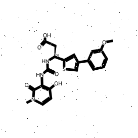 COc1cccc(-c2csc([C@H](CC(=O)O)NC(=O)Nc3c(O)ccn(C)c3=O)c2)c1